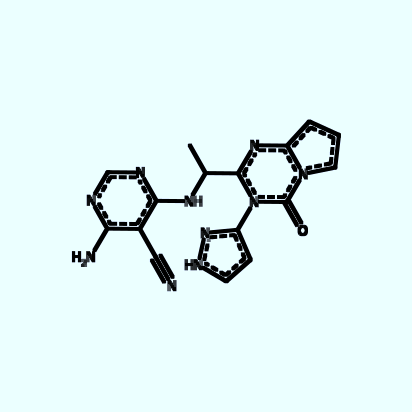 CC(Nc1ncnc(N)c1C#N)c1nc2cccn2c(=O)n1-c1cc[nH]n1